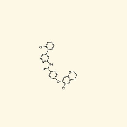 O=C(Nc1cc(-c2ccccc2Cl)ccn1)c1ccc(Oc2cc3c(cc2Cl)CCCO3)cc1